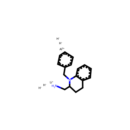 NCC1CCc2ccccc2N1Cc1ccccc1.[Al+3].[H-].[H-].[H-].[H-].[Li+]